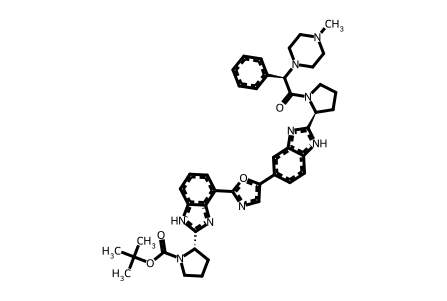 CN1CCN([C@@H](C(=O)N2CCC[C@H]2c2nc3cc(-c4cnc(-c5cccc6[nH]c([C@@H]7CCCN7C(=O)OC(C)(C)C)nc56)o4)ccc3[nH]2)c2ccccc2)CC1